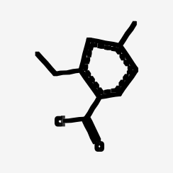 CCc1cc(C)ccc1C(=O)Cl